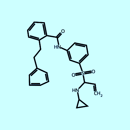 C=CC(NC1CC1)S(=O)(=O)c1cccc(NC(=O)c2ccccc2CCc2ccccc2)c1